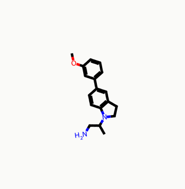 COc1cccc(-c2ccc3c(c2)CCN3C(C)CN)c1